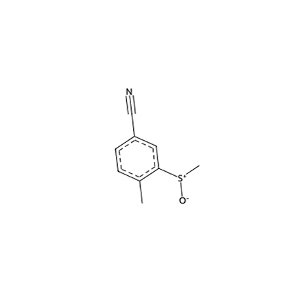 Cc1ccc(C#N)cc1[S+](C)[O-]